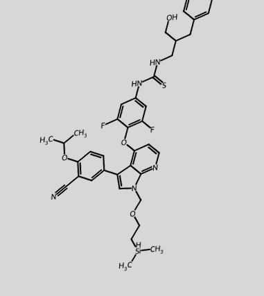 CC(C)Oc1ccc(-c2cn(COCC[SiH](C)C)c3nccc(Oc4c(F)cc(NC(=S)NCC(CO)Cc5ccccc5)cc4F)c23)cc1C#N